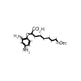 CCCCCCCCCCCCCCCCC(Oc1ccc(N)cc1N)C(=O)O